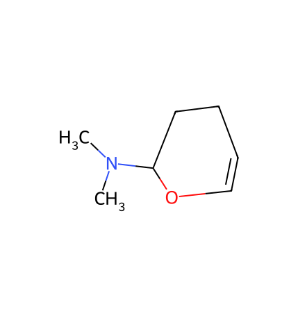 CN(C)C1CCC=CO1